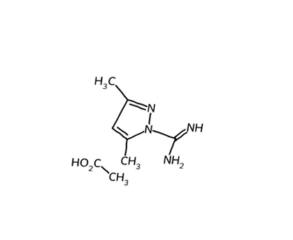 CC(=O)O.Cc1cc(C)n(C(=N)N)n1